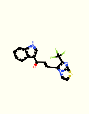 O=C(C=Cc1c(C(F)(F)F)nc2sccn12)c1c[nH]c2ccccc12